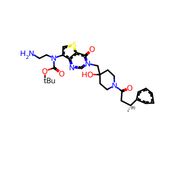 C[C@H](CC(=O)N1CCC(O)(Cn2cnc3c(N(CCN)C(=O)OC(C)(C)C)csc3c2=O)CC1)c1ccccc1